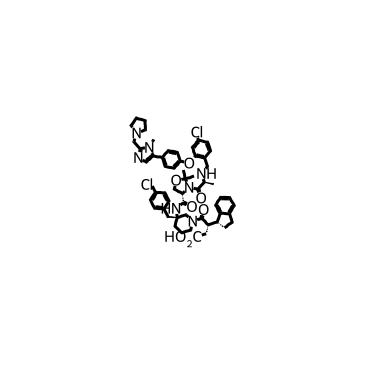 C[C@H](NCc1ccc(Cl)cc1Oc1ccc(-c2cnc(CN3CCCC3)n2C)cc1)C(=O)N1[C@H](C(=O)N[C@@]2(Cc3ccc(Cl)cc3)CCCN(C(=O)[C@@H](CC(=O)O)[C@H]3CCc4ccccc43)C2)COC1(C)C